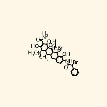 Br.CN(C)[C@@H]1C(O)=C(C(N)=O)C(=O)[C@@]2(O)C(O)=C3C(=O)c4c(ccc(NC(=O)C(Br)c5ccccc5)c4O)CC3CC12